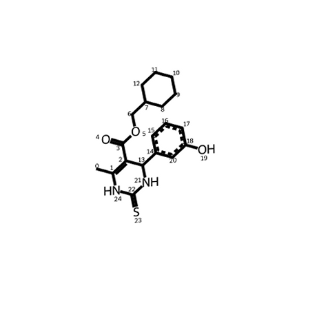 CC1=C(C(=O)OCC2CCCCC2)C(c2cccc(O)c2)NC(=S)N1